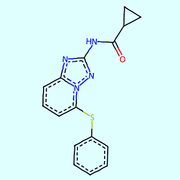 O=C(Nc1nc2cccc(Sc3ccccc3)n2n1)C1CC1